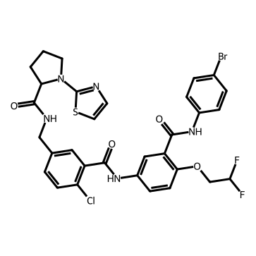 O=C(Nc1ccc(OCC(F)F)c(C(=O)Nc2ccc(Br)cc2)c1)c1cc(CNC(=O)C2CCCN2c2nccs2)ccc1Cl